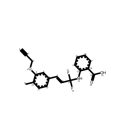 C#CCOc1cc(/C=C/C(F)(F)Nc2ccccc2C(=O)O)ccc1C